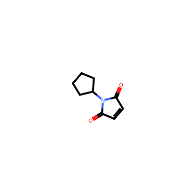 O=C1C=CC(=O)N1C1CCCC1